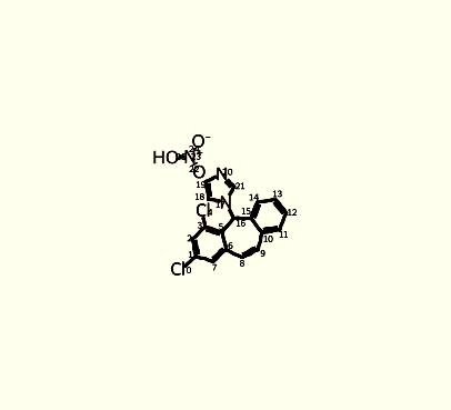 Clc1cc(Cl)c2c(c1)C=Cc1ccccc1C2n1ccnc1.O=[N+]([O-])O